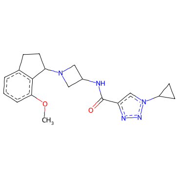 COc1cccc2c1C(N1CC(NC(=O)c3cn(C4CC4)nn3)C1)CC2